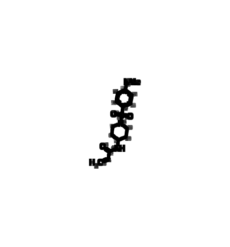 C=CC(=O)NC1CCN(S(=O)(=O)c2ccc(NC)cc2)CC1